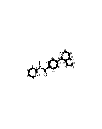 O=C(Nc1ccccn1)c1ccc(-c2nccc3occc23)cc1